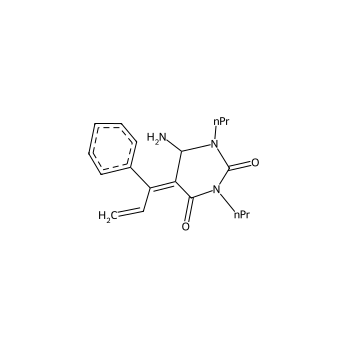 C=C/C(=C1\C(=O)N(CCC)C(=O)N(CCC)C1N)c1ccccc1